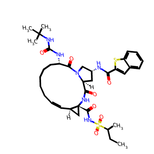 CCC(C)S(=O)(=O)NC(=O)[C@@]12C[C@H]1/C=C\CCCCC[C@H](NC(=O)NC(C)(C)C)C(=O)N1C[C@H](NC(=O)c3cc4ccccc4s3)C[C@H]1C(=O)N2